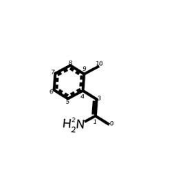 CC(N)=Cc1ccccc1C